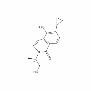 C[C@H](CO)n1ccc2c([N+](=O)[O-])c(C3CC3)ccc2c1=O